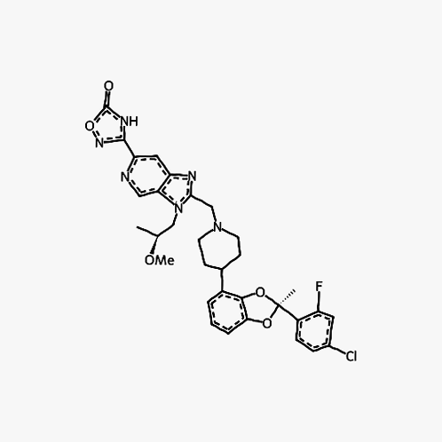 CO[C@@H](C)Cn1c(CN2CCC(c3cccc4c3O[C@@](C)(c3ccc(Cl)cc3F)O4)CC2)nc2cc(-c3noc(=O)[nH]3)ncc21